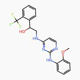 COc1ccccc1Nc1nccc(NCC(O)c2ccccc2C(F)(F)F)n1